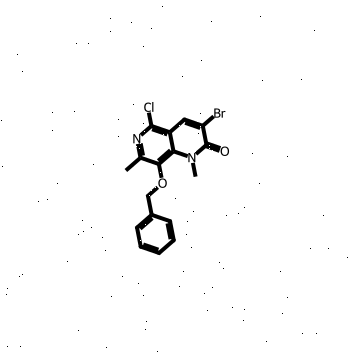 Cc1nc(Cl)c2cc(Br)c(=O)n(C)c2c1OCc1ccccc1